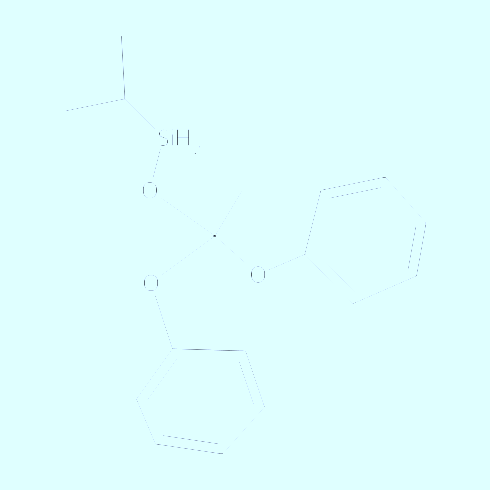 CC(C)[SiH2]OC(C)(Oc1ccccc1)Oc1ccccc1